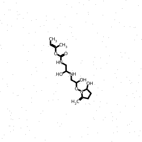 C=C1CCC(O)N1OC(O)CNC(O)CNC(=O)O/C(C)=C/C